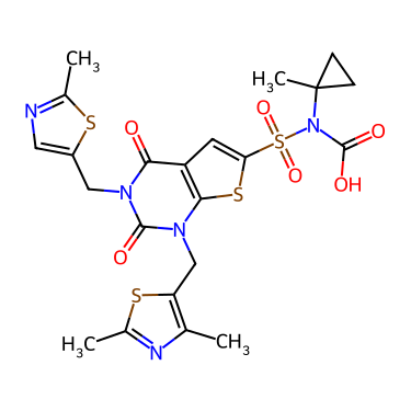 Cc1ncc(Cn2c(=O)c3cc(S(=O)(=O)N(C(=O)O)C4(C)CC4)sc3n(Cc3sc(C)nc3C)c2=O)s1